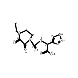 CCN1CCN(C(=O)NC(C(=O)O)c2csnn2)C(=O)C1=O